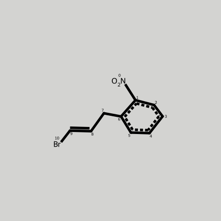 O=[N+]([O-])c1ccccc1C/C=C/Br